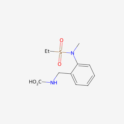 CCS(=O)(=O)N(C)c1ccccc1CNC(=O)O